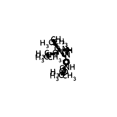 CC(C)(C)OC(=O)N[C@H]1CC[C@@H](c2cc(N(COCC[Si](C)(C)C)COCC[Si](C)(C)C)n3ncc(I)c3n2)CC1